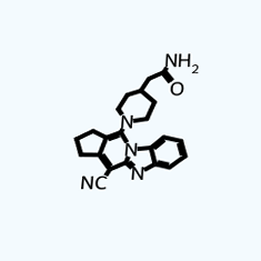 N#Cc1c2c(c(N3CCC(CC(N)=O)CC3)n3c1nc1ccccc13)CCC2